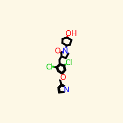 O=C1C(Cc2c(Cl)cc(OCc3cccnc3)cc2Cl)CCN1C1CCC(O)CC1